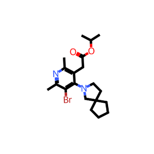 Cc1nc(C)c(CC(=O)OC(C)C)c(N2CCC3(CCCC3)C2)c1Br